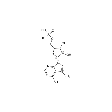 C[n+]1cn([C@@H]2OC(COP(=O)(O)O)C(O)[C@H]2O)c2nccc(S)c21